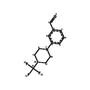 O=Cc1cccc(N2CCC(C(F)(F)F)CC2)c1